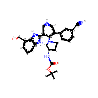 CC(C)(C)OC(=O)N[C@H]1CCN(c2c(-c3cccc(C#N)c3)cncc2-c2nc3c(CO)cccc3[nH]2)C1